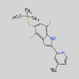 CC(C)(Sc1cc(F)c2[nH]c(-c3cc(C(C)(C)C)ccn3)cc2c1F)C(=O)O